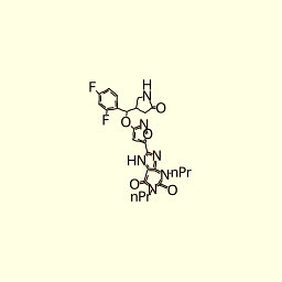 CCCn1c(=O)c2[nH]c(-c3cc(OC(c4ccc(F)cc4F)C4CNC(=O)C4)no3)nc2n(CCC)c1=O